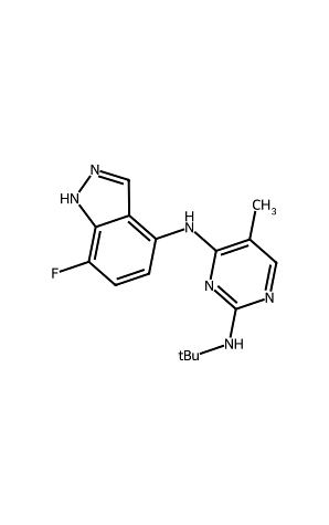 Cc1cnc(NC(C)(C)C)nc1Nc1ccc(F)c2[nH]ncc12